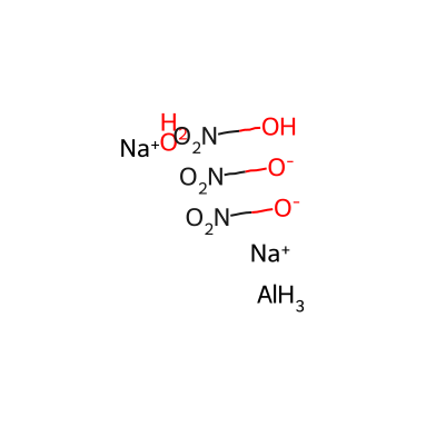 O.O=[N+]([O-])O.O=[N+]([O-])[O-].O=[N+]([O-])[O-].[AlH3].[Na+].[Na+]